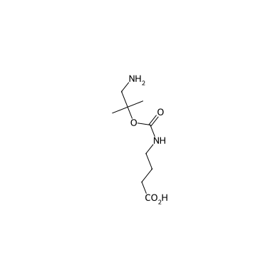 CC(C)(CN)OC(=O)NCCCC(=O)O